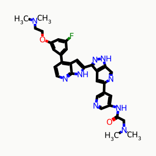 CN(C)CCOc1cc(F)cc(-c2ccnc3[nH]c(-c4n[nH]c5cnc(-c6cncc(NC(=O)CN(C)C)c6)cc45)cc23)c1